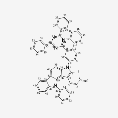 C=C/C=C\c1c(C)n(-c2ccc(-c3ccccc3)c(-c3nc(-c4ccccc4)nc(-c4ccccc4)n3)c2)c2ccc3c4ccccc4n(-c4ccccc4)c3c12